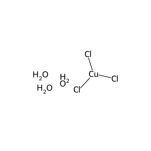 O.O.O.[Cl][Cu]([Cl])[Cl]